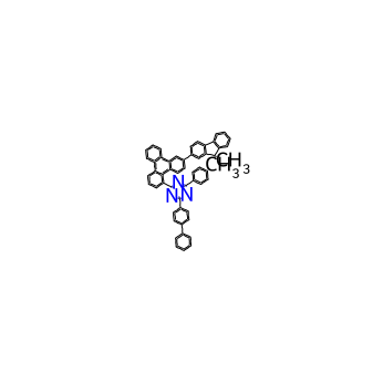 CC1(C)c2ccccc2-c2ccc(-c3ccc4c(c3)c3ccccc3c3cccc(-c5nc(-c6ccccc6)nc(-c6ccc(-c7ccccc7)cc6)n5)c34)cc21